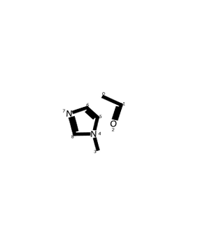 CC=O.Cn1ccnc1